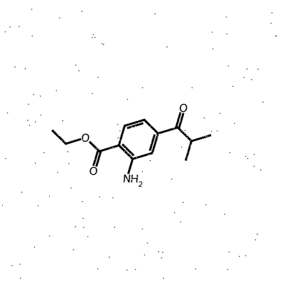 CCOC(=O)c1ccc(C(=O)C(C)C)cc1N